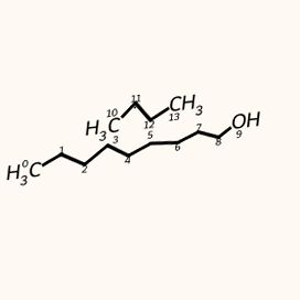 CCCCCCCCCO.C[CH]CC